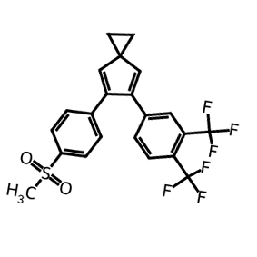 CS(=O)(=O)c1ccc(C2=CC3(C=C2c2ccc(C(F)(F)F)c(C(F)(F)F)c2)CC3)cc1